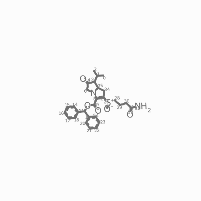 CC(C)C1C(=O)CN2C(C(=O)OC(c3ccccc3)c3ccccc3)=C([S+]([O-])CCCC(N)=O)CC12